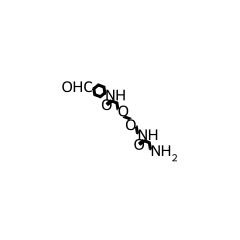 NCCC(=O)NCCOCCOCCC(=O)NC1CCC(C=O)CC1